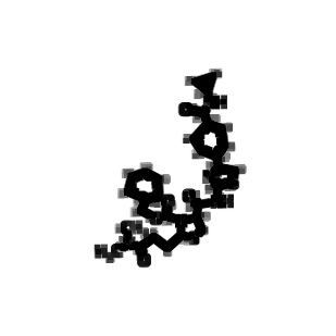 CN(C)C(=O)CCC1SCC(C(=O)Nc2nc(-c3ccc(C(=O)NC4CC4)cc3)cs2)N1C(=O)OCc1ccccc1